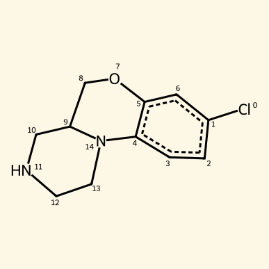 Clc1ccc2c(c1)OCC1CNCCN21